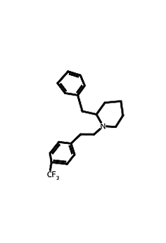 FC(F)(F)c1ccc(CCN2CCCCC2Cc2ccccc2)cc1